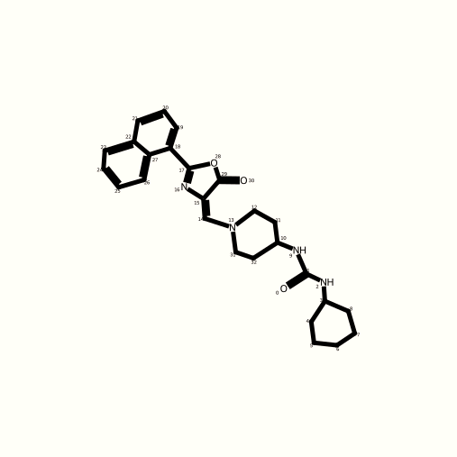 O=C(NC1CCCCC1)NC1CCN(/C=C2/N=C(c3cccc4ccccc34)OC2=O)CC1